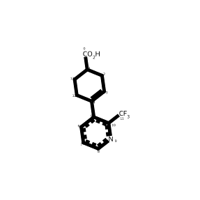 O=C(O)C1CC=C(c2cccnc2C(F)(F)F)CC1